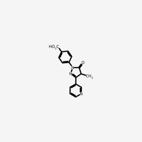 CC1C(=O)N(c2ccc(C(=O)O)cc2)N=C1c1cccnc1